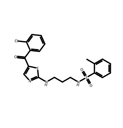 Cc1ccccc1S(=O)(=O)NCCCNc1ncc(C(=O)c2ccccc2Cl)s1